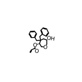 C=CC(=O)O[C@@H]1COC[C@@H](O)CC1(Cc1ccccc1)Cc1ccccc1